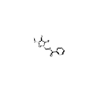 CO[C@H]1O[C@H](COC(=O)c2ccccc2)C(F)C1=O